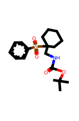 CC(C)(C)OC(=O)NCC1(S(=O)(=O)c2ccccc2)CCCCC1